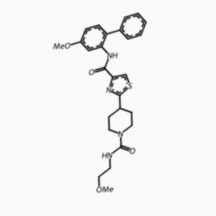 COCCNC(=O)N1CCC(c2nc(C(=O)Nc3cc(OC)ccc3-c3ccccc3)cs2)CC1